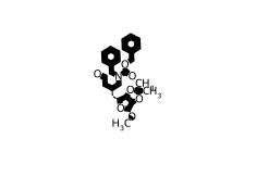 CO[C@@H]1O[C@H](C[C@H](CC=O)CN(Cc2ccccc2)C(=O)OCc2ccccc2)C2OC(C)(C)OC21